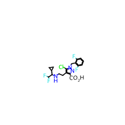 O=C(O)c1nn(Cc2c(F)cccc2F)c(Cl)c1CCNC(C(F)F)C1CC1